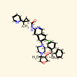 CC1(c2ccccn2)C[C@@H]1C(=O)Nc1cc2cc(N3CCN(C4(C)COCC4O[Si](c4ccccc4)(c4ccccc4)C(C)(C)C)CC3)c(Cl)cc2cn1